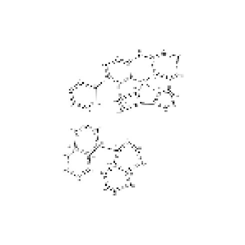 c1cc(-c2ccc3c(c2)C2(c4ccccc4O3)c3ccccc3-c3ccccc32)cc(-c2nc(-c3cccc4ccccc34)c3ccccc3n2)c1